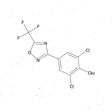 Oc1c(Cl)cc(-c2noc(C(F)(F)F)n2)cc1Cl